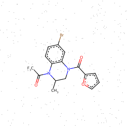 CC1CN(C(=O)c2ccco2)c2cc(Br)ccc2N1C(=O)C(F)(F)F